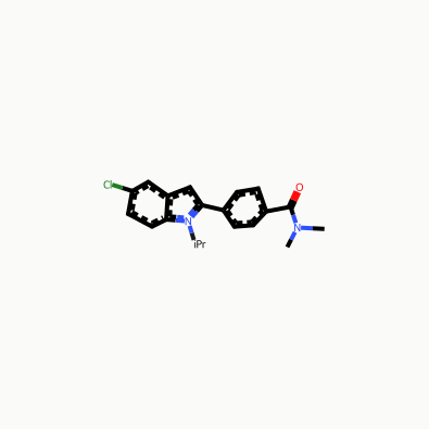 CC(C)n1c(-c2ccc(C(=O)N(C)C)cc2)cc2cc(Cl)ccc21